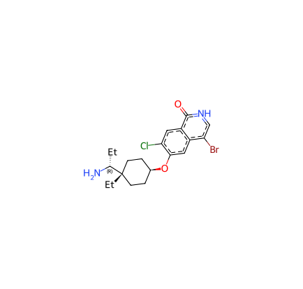 CC[C@@H](N)[C@]1(CC)CC[C@@H](Oc2cc3c(Br)c[nH]c(=O)c3cc2Cl)CC1